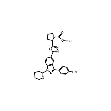 CC(C)(C)OC(=O)N1CCCC1c1nnc(-c2ccc3c(c2)c(-c2ccc(C#N)cc2)nn3C2CCCCO2)o1